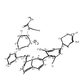 COC(=O)N(C)[C@@H]1[C@H](N)C[C@H](c2ccncc2Nc2ncc3ccc(-c4c(F)cc(C5CCOCC5)cc4F)nn23)C[C@@H]1C